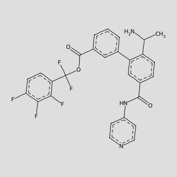 CC(N)c1ccc(C(=O)Nc2ccncc2)cc1-c1cccc(C(=O)OC(F)(F)c2ccc(F)c(F)c2F)c1